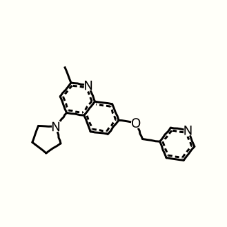 Cc1cc(N2CCCC2)c2ccc(OCc3cccnc3)cc2n1